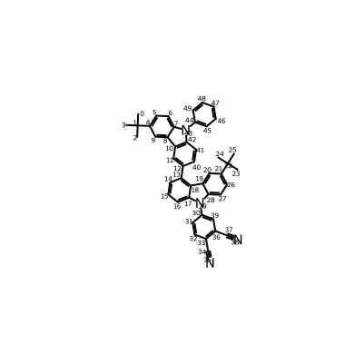 CC(C)(C)c1ccc2c(c1)c1cc(-c3cccc4c3c3cc(C(C)(C)C)ccc3n4-c3ccc(C#N)c(C#N)c3)ccc1n2-c1ccccc1